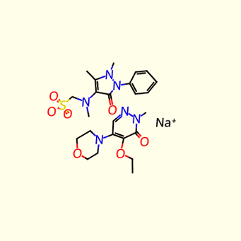 CCOc1c(N2CCOCC2)cnn(C)c1=O.Cc1c(N(C)CS(=O)(=O)[O-])c(=O)n(-c2ccccc2)n1C.[Na+]